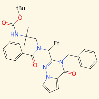 CCC(c1nn2cccc2c(=O)n1Cc1ccccc1)N(CC(C)(C)NC(=O)OC(C)(C)C)C(=O)c1ccccc1